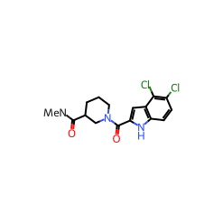 CNC(=O)C1CCCN(C(=O)c2cc3c(Cl)c(Cl)ccc3[nH]2)C1